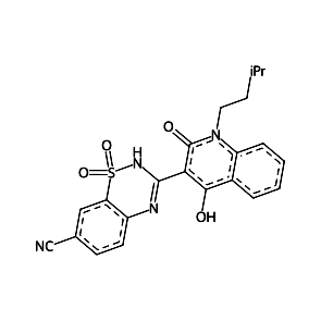 CC(C)CCn1c(=O)c(C2=Nc3ccc(C#N)cc3S(=O)(=O)N2)c(O)c2ccccc21